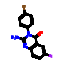 Nc1nc2ccc(I)cc2c(=O)n1-c1ccc(Br)cc1